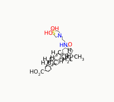 C=C(C)[C@@H]1CC[C@]2(C(=O)NCCCN3CCS(O)(O)CC3)CC[C@]3(C)[C@H](CC[C@@H]4[C@@]5(C)CC=C(c6ccc(C(=O)O)cc6)C(C)(C)[C@@H]5CC[C@]43C)[C@@H]12